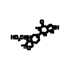 C[C@@H]1OCC2(CCN(c3nc4n[nH]cc4c(=O)n3C)CC2)[C@@H]1NC(=O)O